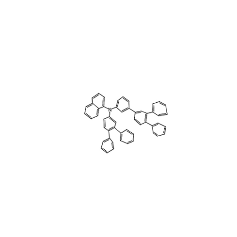 c1ccc(-c2ccc(-c3cccc(N(c4ccc(-c5ccccc5)c(-c5ccccc5)c4)c4cccc5ccccc45)c3)cc2-c2ccccc2)cc1